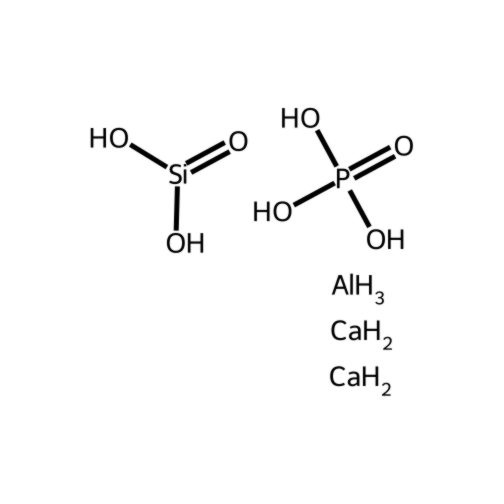 O=P(O)(O)O.O=[Si](O)O.[AlH3].[CaH2].[CaH2]